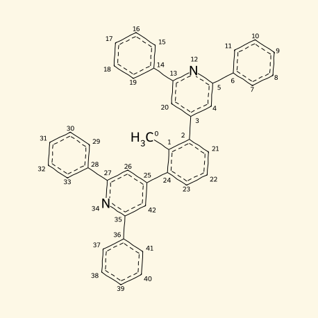 Cc1c(-c2cc(-c3ccccc3)nc(-c3ccccc3)c2)cccc1-c1cc(-c2ccccc2)nc(-c2ccccc2)c1